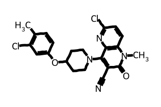 Cc1ccc(OC2CCN(c3c(C#N)c(=O)n(C)c4ccc(Cl)nc34)CC2)cc1Cl